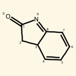 O=C1CC2C=CC=CC2=N1